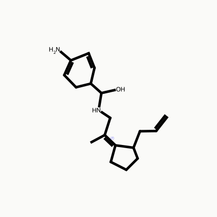 C=CCC1CCC/C1=C(\C)CNC(O)C1C=CC(N)=CC1